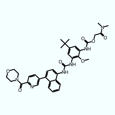 COc1c(NC(=O)Nc2ccc(-c3ccc(C(=O)N4CCOCC4)nc3)c3ccccc23)cc(C(C)(C)C)cc1NC(=O)OCC(=O)N(C)C